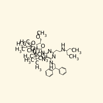 CCC(CC)NCCc1nc(NCC(c2ccccc2)c2ccccc2)c2ncn([C@@H]3O[C@H](COC)[C@@H](O[Si](C)(C)C(C)(C)C)[C@@H]3O[Si](C)(C)C(C)(C)C)c2n1